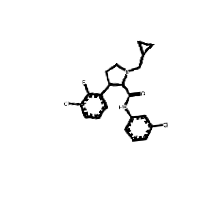 O=C(Nc1cccc(Cl)c1)C1C(c2cccc(Cl)c2F)CCN1CC1CC1